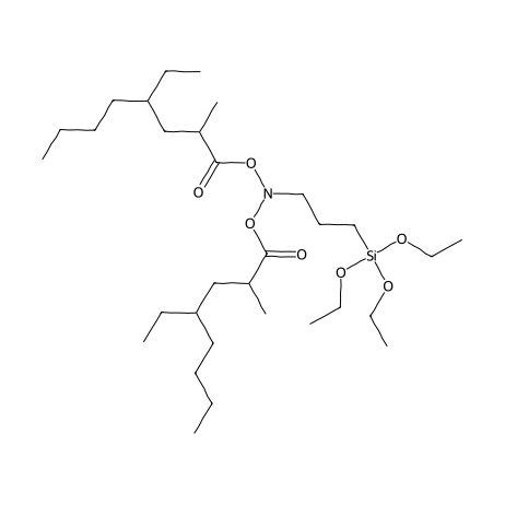 CCCCC(CC)CC(C)C(=O)ON(CCC[Si](OCC)(OCC)OCC)OC(=O)C(C)CC(CC)CCCC